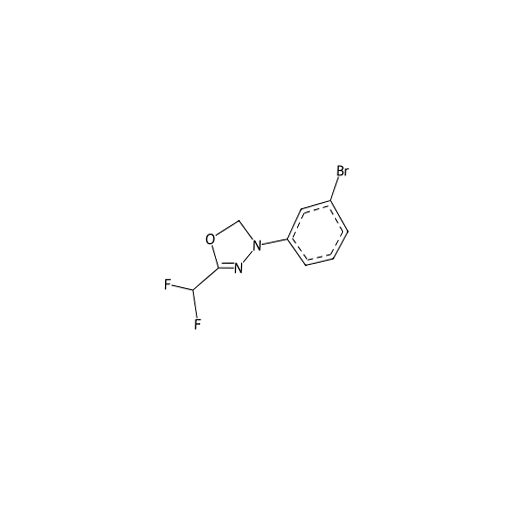 FC(F)C1=NN(c2cccc(Br)c2)CO1